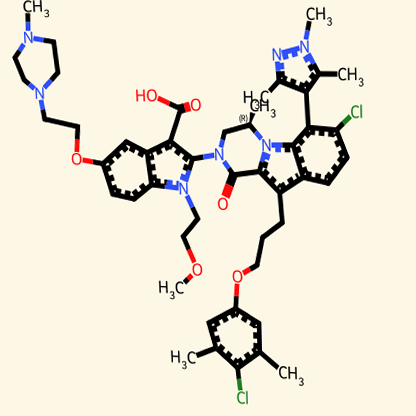 COCCn1c(N2C[C@@H](C)n3c(c(CCCOc4cc(C)c(Cl)c(C)c4)c4ccc(Cl)c(-c5c(C)nn(C)c5C)c43)C2=O)c(C(=O)O)c2cc(OCCN3CCN(C)CC3)ccc21